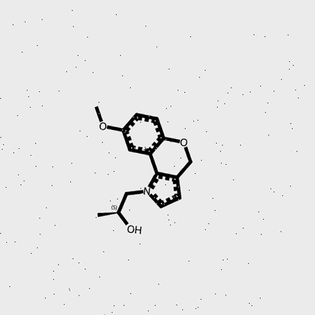 COc1ccc2c(c1)-c1c(ccn1C[C@H](C)O)CO2